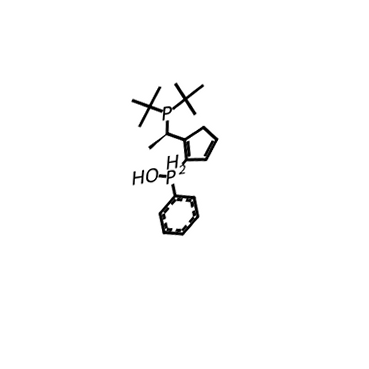 C[C@H](C1=C([PH2](O)c2ccccc2)C=CC1)P(C(C)(C)C)C(C)(C)C